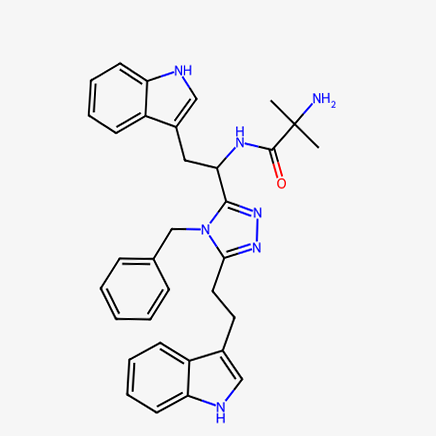 CC(C)(N)C(=O)NC(Cc1c[nH]c2ccccc12)c1nnc(CCc2c[nH]c3ccccc23)n1Cc1ccccc1